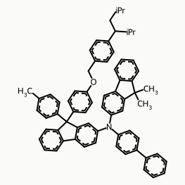 Cc1ccc(C2(c3ccc(OCc4ccc(C(CC(C)C)C(C)C)cc4)cc3)c3ccccc3-c3ccc(N(c4ccc(-c5ccccc5)cc4)c4ccc5c(c4)C(C)(C)c4ccccc4-5)cc32)cc1